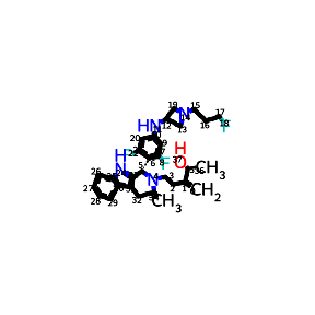 C=C(CCN1[C@@H](c2c(F)cc(NC3CN(CCCF)C3)cc2F)c2[nH]c3ccccc3c2C[C@@H]1C)[C@H](C)O